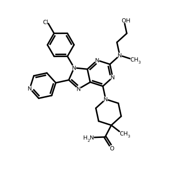 CN(CCO)c1nc(N2CCC(C)(C(N)=O)CC2)c2nc(-c3ccncc3)n(-c3ccc(Cl)cc3)c2n1